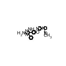 COC[C@@H]1CCCN1c1ccnc(Oc2ccc(-c3c(N)nc(N)nc3-c3ccccc3)cc2)c1